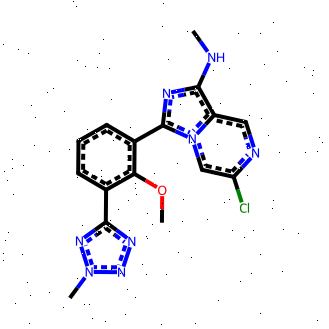 CNc1nc(-c2cccc(-c3nnn(C)n3)c2OC)n2cc(Cl)ncc12